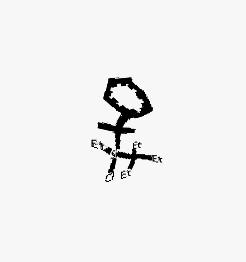 CCC(CC)(CC)[Si](Cl)(CC)C(C)(C)c1ccccc1